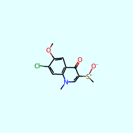 COc1cc2c(=O)c([S+](C)[O-])cn(C)c2cc1Cl